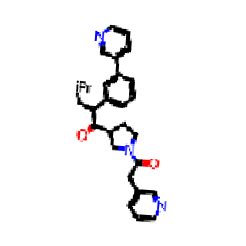 CC(C)CC(C(=O)C1CCN(C(=O)Cc2cccnc2)C1)c1cccc(-c2cccnc2)c1